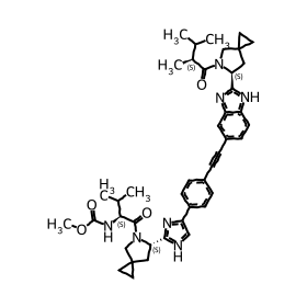 COC(=O)N[C@H](C(=O)N1CC2(CC2)C[C@H]1c1nc(-c2ccc(C#Cc3ccc4[nH]c([C@@H]5CC6(CC6)CN5C(=O)[C@@H](C)C(C)C)nc4c3)cc2)c[nH]1)C(C)C